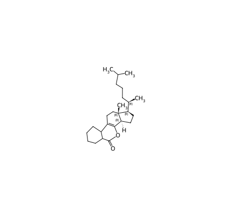 CC(C)CCC[C@@H](C)[C@H]1CC[C@H]2C3=C(CC[C@]12C)C1CCCCC1C(=O)O3